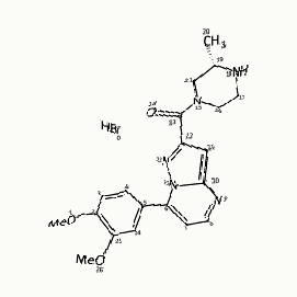 Br.COc1ccc(-c2ccnc3cc(C(=O)N4CCN[C@@H](C)C4)nn23)cc1OC